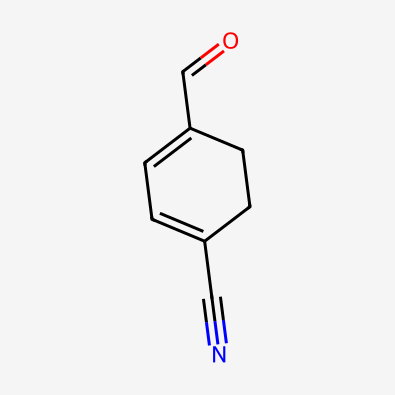 N#CC1=CC=C(C=O)CC1